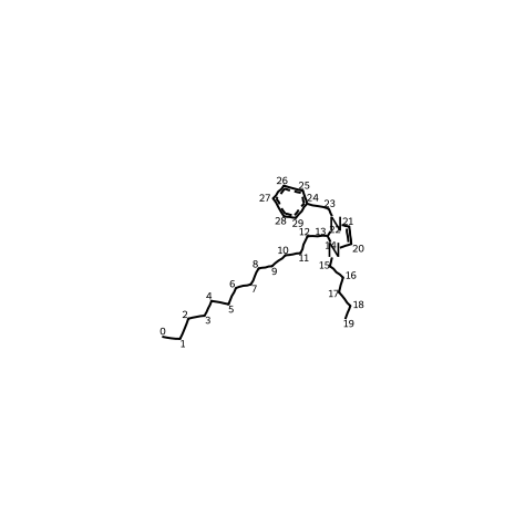 CCCCCCCCCCCCCC1N(CCCCC)C=CN1Cc1ccccc1